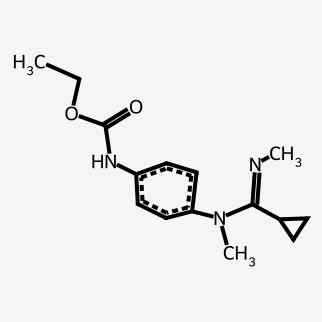 CCOC(=O)Nc1ccc(N(C)C(=NC)C2CC2)cc1